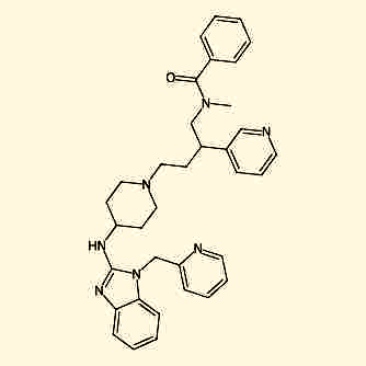 CN(CC(CCN1CCC(Nc2nc3ccccc3n2Cc2ccccn2)CC1)c1cccnc1)C(=O)c1ccccc1